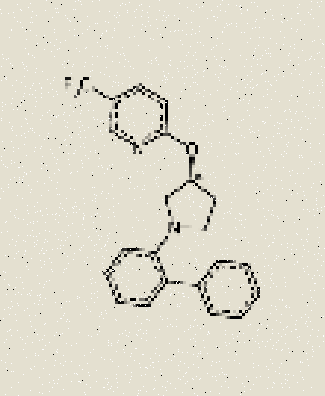 FC(F)(F)c1ccc(O[C@H]2CCN(c3ccccc3-c3ccccc3)C2)nc1